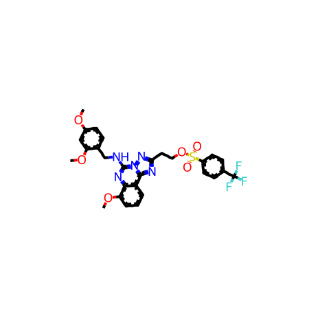 COc1ccc(CNc2nc3c(OC)cccc3c3nc(CCOS(=O)(=O)c4ccc(C(F)(F)F)cc4)nn23)c(OC)c1